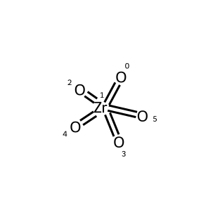 [O]=[Zr](=[O])(=[O])(=[O])=[O]